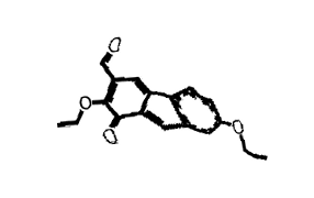 CCOC1=C(C=O)C=C2C(=Cc3cc(OCC)ccc32)C1=O